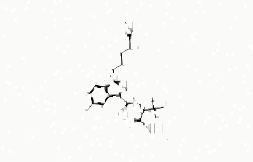 Cc1ccc2c(c1)c(C(=O)N[C@H](C(N)=O)C(C)(C)C)nn2CCCCC#N